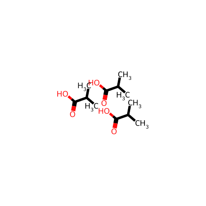 CC(C)C(=O)O.CC(C)C(=O)O.CC(C)C(=O)O